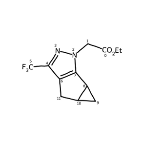 CCOC(=O)Cn1nc(C(F)(F)F)c2c1C1CC1C2